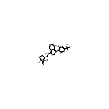 O=C1N[C@@]2(CNc3nnc(-c4ccc(C(F)(F)F)cc4O)c4ccncc34)CC[C@@H]1C2